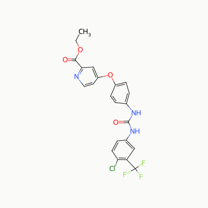 CCOC(=O)c1cc(Oc2ccc(NC(=O)Nc3ccc(Cl)c(C(F)(F)F)c3)cc2)ccn1